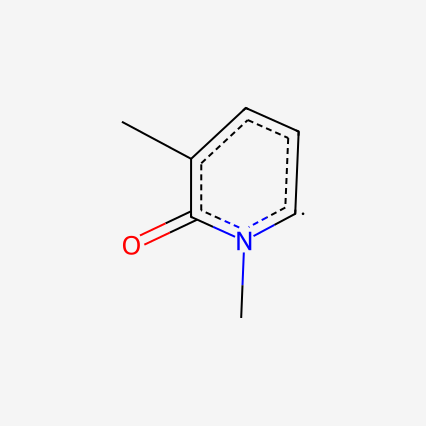 Cc1cc[c]n(C)c1=O